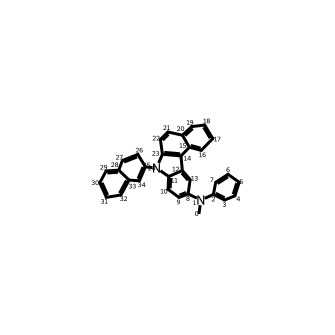 CN(c1ccccc1)c1ccc2c(c1)c1c3ccccc3ccc1n2-c1ccc2ccccc2c1